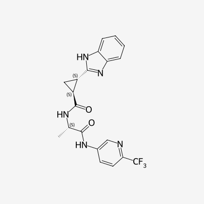 C[C@H](NC(=O)[C@H]1C[C@@H]1c1nc2ccccc2[nH]1)C(=O)Nc1ccc(C(F)(F)F)nc1